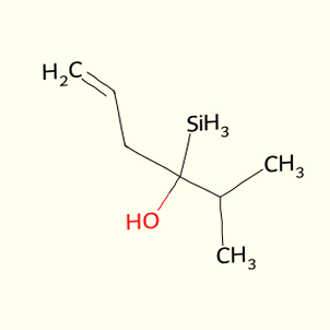 C=CCC(O)([SiH3])C(C)C